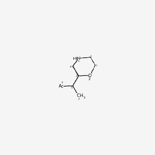 CC(=O)C(C)C1CNCCO1